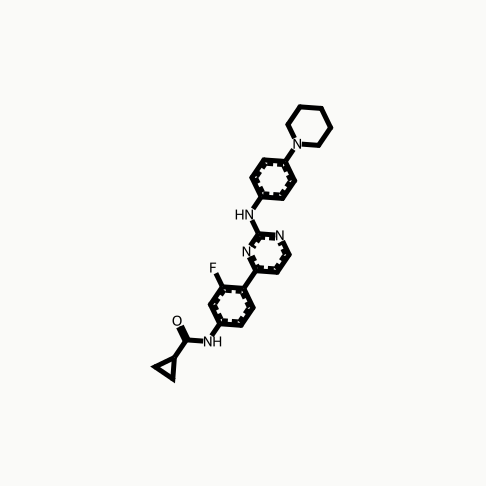 O=C(Nc1ccc(-c2ccnc(Nc3ccc(N4CCCCC4)cc3)n2)c(F)c1)C1CC1